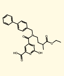 CCOC(=O)C(C)CCN(Cc1ccc(-c2ccccc2)cc1)C(=O)c1cc(C(=O)O)nc(O)n1